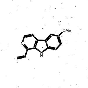 C=Cc1nccc2c1[nH]c1ccc(OC)cc12